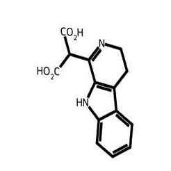 O=C(O)C(C(=O)O)C1=NCCc2c1[nH]c1ccccc21